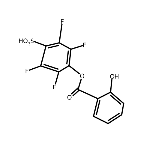 O=C(Oc1c(F)c(F)c(S(=O)(=O)O)c(F)c1F)c1ccccc1O